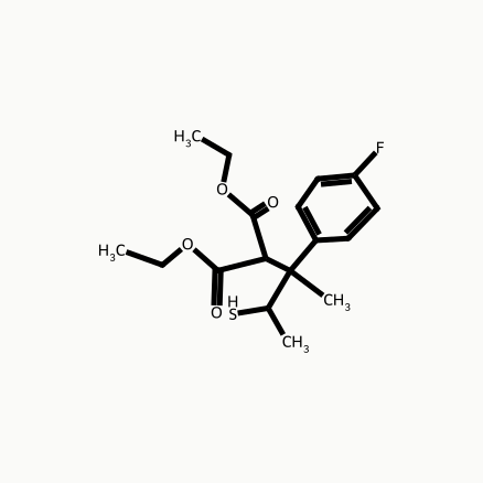 CCOC(=O)C(C(=O)OCC)C(C)(c1ccc(F)cc1)C(C)S